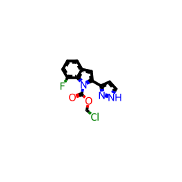 O=C(OCCl)n1c(-c2cc[nH]n2)cc2cccc(F)c21